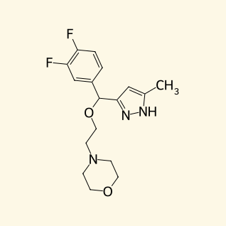 Cc1cc(C(OCCN2CCOCC2)c2ccc(F)c(F)c2)n[nH]1